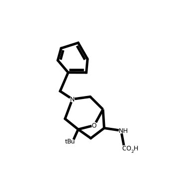 CC(C)(C)C12CC(NC(=O)O)C(CN(Cc3ccccc3)C1)O2